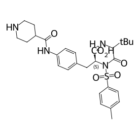 Cc1ccc(S(=O)(=O)N(C(=O)C(N)C(C)(C)C)[C@@H](Cc2ccc(NC(=O)C3CCNCC3)cc2)C(=O)O)cc1